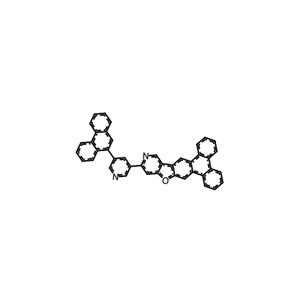 c1ccc2c(c1)cc(-c1cncc(-c3cc4oc5cc6c7ccccc7c7ccccc7c6cc5c4cn3)c1)c1ccccc12